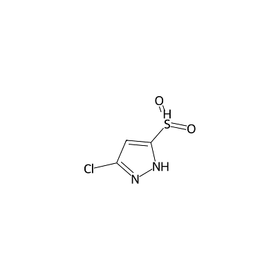 O=[SH](=O)c1cc(Cl)n[nH]1